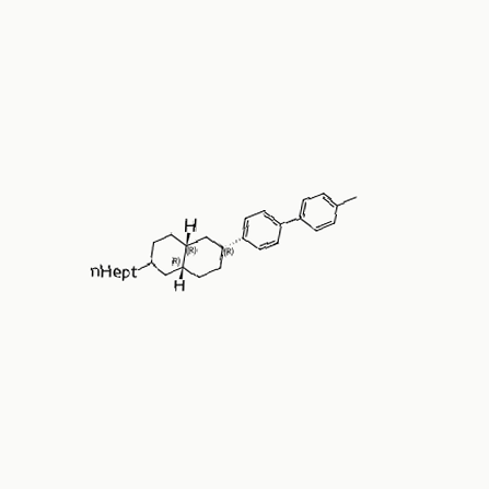 CCCCCCCC1CC[C@@H]2C[C@H](c3ccc(-c4ccc(C)cc4)cc3)CC[C@@H]2C1